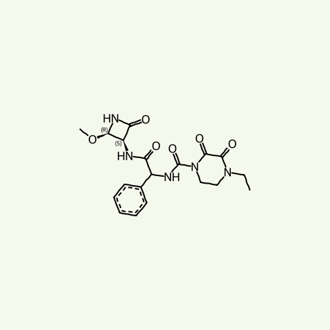 CCN1CCN(C(=O)NC(C(=O)N[C@@H]2C(=O)N[C@@H]2OC)c2ccccc2)C(=O)C1=O